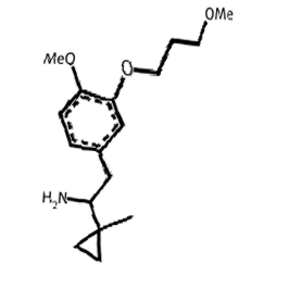 COCCCOc1cc(CC(N)C2(C)CC2)ccc1OC